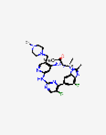 CCN1CCN(Cc2cnc(Nc3ncc(F)c(-c4cc(F)c5nc(C)n([C@H](C)CC(=O)OC)c5c4)n3)cc2N)CC1